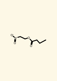 CCCC(=O)OCC[N+](=O)[O-]